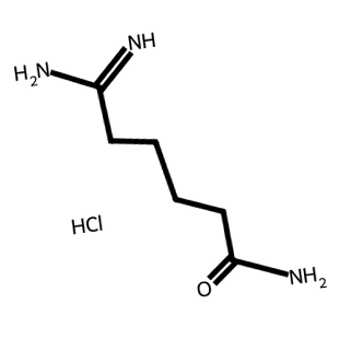 Cl.N=C(N)CCCCC(N)=O